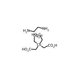 NCCN.O=C(O)[CH2][Co]([CH2]C(=O)O)([CH2]C(=O)O)[CH2]C(=O)O